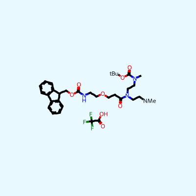 CNCCN(CCN(C)C(=O)OC(C)(C)C)C(=O)CCOCCNC(=O)OCC1c2ccccc2-c2ccccc21.O=C(O)C(F)(F)F